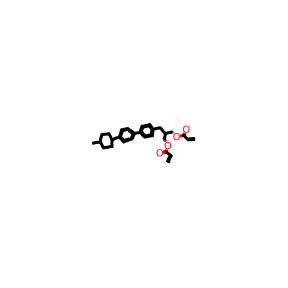 C=CC(=O)OCC(COC(=O)C=C)Cc1ccc(-c2ccc(C3CCC(C)CC3)cc2)cc1